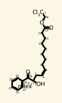 CCCCCC[C@@](O)(C/C=C\CCCCCCCC(=O)OCC(Cl)(Cl)Cl)C(=O)c1ccccc1